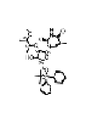 CO[C@H](C)[C@H](C)O[C@H]1C(O)[C@@H](CO[Si](c2ccccc2)(c2ccccc2)C(C)(C)C)O[C@H]1n1cc(C)c(=O)[nH]c1=O